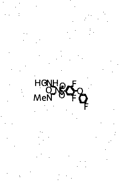 CNCCN(CC(=O)NO)S(=O)(=O)c1cc(F)c(Oc2ccc(F)cc2)c(F)c1